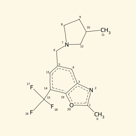 Cc1nc2cc(CN3CCC(C)C3)cc(C(F)(F)F)c2o1